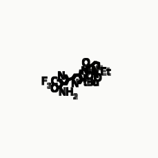 CC[C@H]1CCC(C(=O)NCc2cc(-c3cnc(C(F)(F)F)c(C(N)=O)c3)ncc2F)N1C(=O)OC(C)(C)C